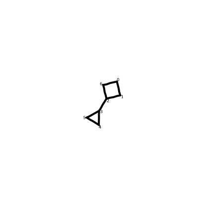 C1CC(C2CC2)C1